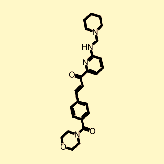 O=C(C=Cc1ccc(C(=O)N2CCOCC2)cc1)c1cccc(NCN2CCCCC2)n1